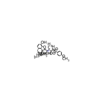 COc1ccc(S(=O)(=O)NC(=O)/C(C)=C(\O)[C@@H]2Oc3c(O)ccc4c3[C@@]23CCN(CC2CC2)[C@H](C4)[C@@]3(C)O)cc1